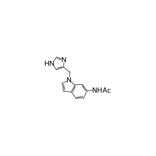 CC(=O)Nc1ccc2ccn(Cc3c[nH]cn3)c2c1